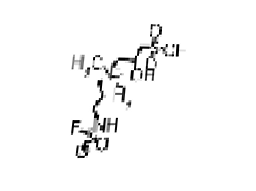 C[N+](C)(CCCNS(=O)(=O)F)CC(O)CS(=O)(=O)O